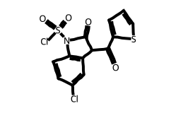 O=C(c1cccs1)C1C(=O)N(S(=O)(=O)Cl)c2ccc(Cl)cc21